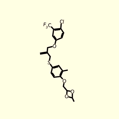 C=C(COc1ccc(Cl)c(C(F)(F)F)c1)CSc1ccc(OCC2OC(C)O2)c(C)c1